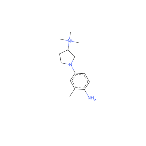 Cc1cc(N2CCC([N+](C)(C)C)C2)ccc1N